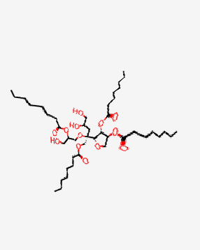 CCCCCCCC(=O)OC[C@@](CC(O)CO)(OCC(CO)OC(=O)CCCCCCC)[C@H]1OC[C@H](OC(=O)CCCCCCC)[C@H]1OC(=O)CCCCCCC